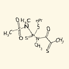 CCCSP(=S)(N(C)C(=O)C(C)=S)N(C)S(C)(=O)=O